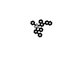 c1ccc(-c2nc(-c3cccc(-c4ccccc4)c3-c3ccccc3)nc(-c3ccc(-c4ccc5ccccc5c4)c4ccccc34)n2)cc1